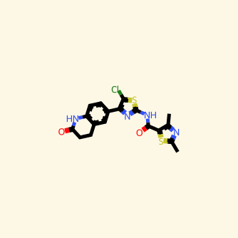 Cc1nc(C)c(C(=O)Nc2nc(-c3ccc4c(c3)CCC(=O)N4)c(Cl)s2)s1